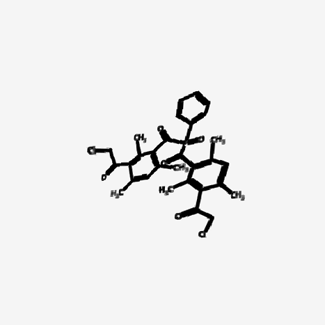 Cc1cc(C)c(C(=O)P(=O)(C(=O)c2c(C)cc(C)c(C(=O)CCl)c2C)c2ccccc2)c(C)c1C(=O)CCl